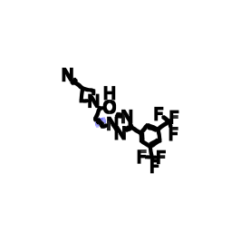 N#CC1CN(C(O)/C=C\n2cnc(-c3cc(C(F)(F)F)cc(C(F)(F)F)c3)n2)C1